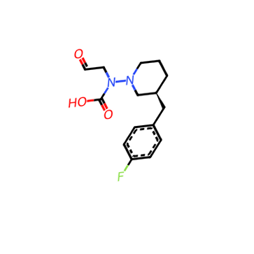 O=CCN(C(=O)O)N1CCC[C@@H](Cc2ccc(F)cc2)C1